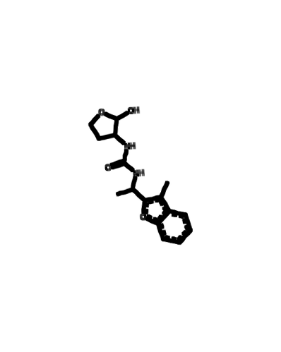 Cc1c(C(C)NC(=O)NC2CCOC2O)oc2ccccc12